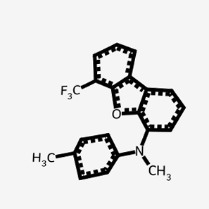 Cc1ccc(N(C)c2cccc3c2oc2c(C(F)(F)F)cccc23)cc1